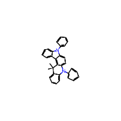 CC1(C)c2ccccc2N(c2ccccc2)c2ccc3c(c21)c1ccccc1n3-c1ccccc1